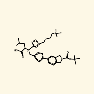 CC(C)CC(C(=O)O)[C@H](Cc1ccc(-c2ccc3c(c2)CN(C(=O)OC(C)(C)C)C3)cn1)c1nnn(COCC[Si](C)(C)C)n1